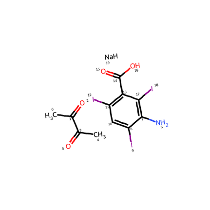 CC(=O)C(C)=O.Nc1c(I)cc(I)c(C(=O)O)c1I.[NaH]